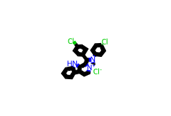 Clc1ccc(-c2c3c4[nH]c5ccccc5c4cc[n+]3cn2-c2ccc(Cl)cc2)cc1.[Cl-]